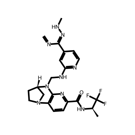 C=N/C(=N\NC)c1ccnc(NCN2c3nc(C(=O)N[C@H](C)C(F)(F)F)ccc3N3CC[C@H]2C3)c1